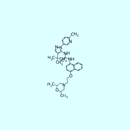 Cc1ccc(-n2ncc(C(C)(C)C)c2NC(=O)Nc2ccc(OCCN3CC(C)OC(C)C3)c3ccccc23)cn1